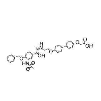 C[C@H](NCCOc1ccc(-c2ccc(OCC(=O)O)cc2)cc1)[C@@H](O)c1ccc(OCc2ccccc2)c(NS(C)(=O)=O)c1